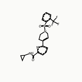 O=C(NC1CC1)c1cccc(C2=CCN(S(=O)(=O)c3ccccc3C(F)(F)F)CC2)n1